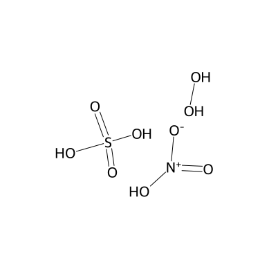 O=S(=O)(O)O.O=[N+]([O-])O.OO